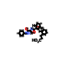 O=C(O)CCc1ccccc1C[C@@H]1[C@H](c2nc(C(=O)Nc3ccccc3)co2)[C@H]2CC[C@@H]1O2